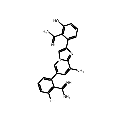 Cc1cc(-c2cccc(O)c2C(=N)N)cn2cc(-c3cccc(O)c3C(=N)N)nc12